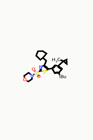 CC(C)(C)c1cc(-c2sc(S(=O)(=O)N3CCOCC3)nc2CC2CCCCC2)cc(C2(C)CC2)c1